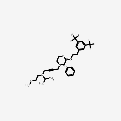 COCCN(CC#CCN1CCO[C@@H](OCCc2cc(C(F)(F)F)cc(C(F)(F)F)c2)[C@@H]1c1ccccc1)C(C)C